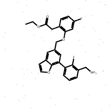 CCOC(=O)Cc1ccc(F)cc1OCc1cc(-c2cccc(CN)c2F)c2occc2c1